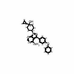 Nc1ncnc2c1c(-c1ccc(Oc3ccccc3)cc1)nn2C1CCC(O)(C2CC2)CC1